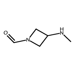 CNC1CN(C=O)C1